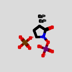 O=C1CCCN1OP(=O)([O-])[O-].O=S(=O)([O-])[O-].[Ca+2].[Ca+2]